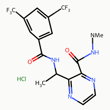 CNNC(=O)c1nccnc1C(C)NC(=O)c1cc(C(F)(F)F)cc(C(F)(F)F)c1.Cl